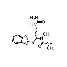 CNC(=O)N(C)C(CCNC(N)=O)Sc1nc2ccccc2s1